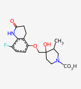 CC1CN(C(=O)O)CCC1(O)COc1ccc(F)c2c1CCC(=O)N2